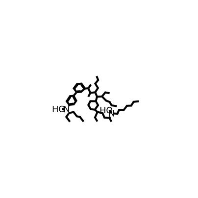 CCCCCCCN(O)C(C)CCC(CC)C1CCCC(C(C(CC)CCCC)C(CCCC)C(C)C(C)c2cccc(-c3ccc(N(O)C(CC)CCCC)cc3)c2)C1